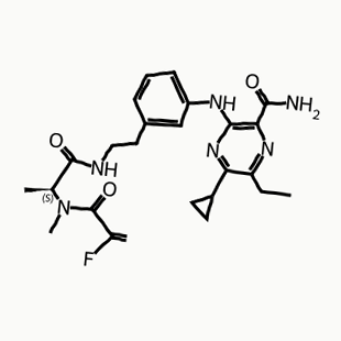 C=C(F)C(=O)N(C)[C@@H](C)C(=O)NCCc1cccc(Nc2nc(C3CC3)c(CC)nc2C(N)=O)c1